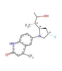 CC(O)[C@H]([C@H]1C[C@H](F)CN1c1ccc2[nH]c(=O)cc(C(F)(F)F)c2c1)C(F)(F)F